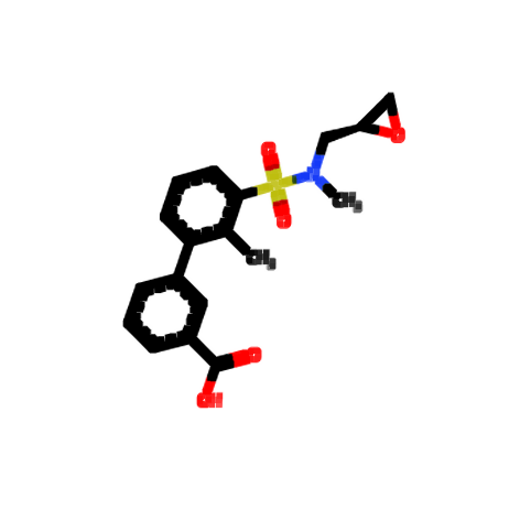 Cc1c(-c2cccc(C(=O)O)c2)cccc1S(=O)(=O)N(C)C[C@H]1CO1